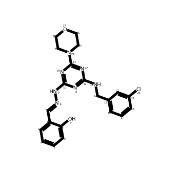 Oc1ccccc1/C=N/Nc1nc(NCc2cccc(Cl)c2)nc(N2CCOCC2)n1